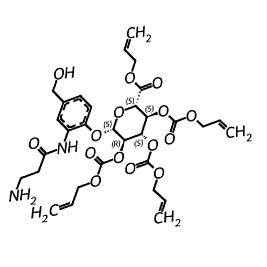 C=CCOC(=O)O[C@@H]1[C@@H](OC(=O)OCC=C)[C@H](Oc2ccc(CO)cc2NC(=O)CCN)O[C@H](C(=O)OCC=C)[C@H]1OC(=O)OCC=C